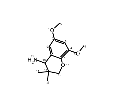 COc1cc(OC)c2c(c1)C(N)C(C)(C)CO2